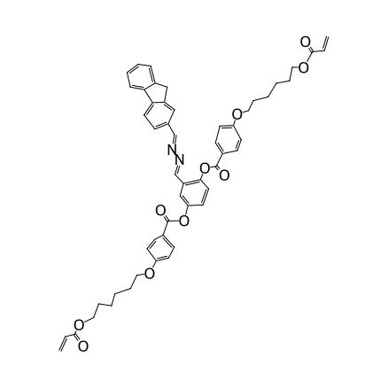 C=CC(=O)OCCCCCCOc1ccc(C(=O)Oc2ccc(OC(=O)c3ccc(OCCCCCCOC(=O)C=C)cc3)c(/C=N/N=C/c3ccc4c(c3)Cc3ccccc3-4)c2)cc1